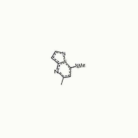 CNc1cc(C)nc2ccnn12